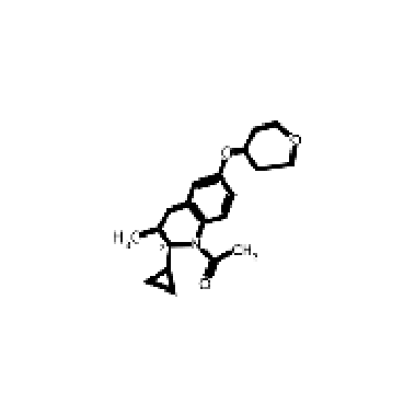 CC(=O)N1c2ccc(OC3CCOCC3)cc2CC(C)[C@@H]1C1CC1